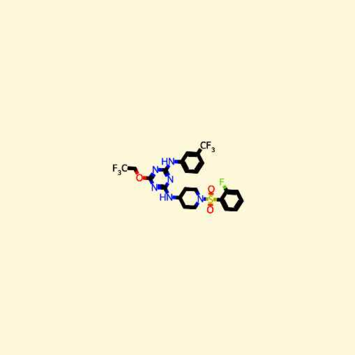 O=S(=O)(c1ccccc1F)N1CCC(Nc2nc(Nc3cccc(C(F)(F)F)c3)nc(OCC(F)(F)F)n2)CC1